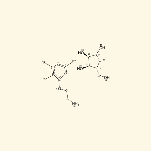 Cc1c(F)cc(F)cc1OCCN.OC[C@H]1OC(O)[C@H](O)[C@@H]1O